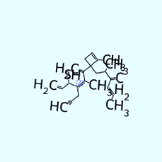 C#CC/C(=C(\C)C(=C)C1(CC(C)C(=C)C=CC)CC=C1C)C(S)C=C